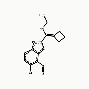 CCNC(=C1CCC1)c1cc2c(C=O)c(O)ccc2[nH]1